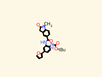 CN1C(=O)Cc2cc(C(=O)Nc3cc(-c4ccco4)ccc3NC(=O)OC(C)(C)C)ccc21